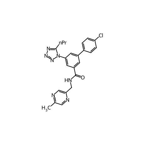 CCCc1nnnn1-c1cc(C(=O)NCc2cnc(C)cn2)cc(-c2ccc(Cl)cc2)c1